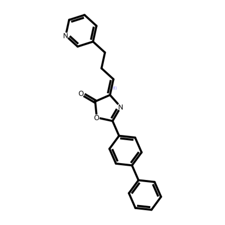 O=C1OC(c2ccc(-c3ccccc3)cc2)=N/C1=C/CCc1cccnc1